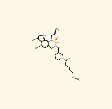 C=CCN1c2c(cc(Cl)c3c(Cl)c[nH]c23)CN(CC2CCCN(C(=O)CCCCOC)C2)S1(=O)=O